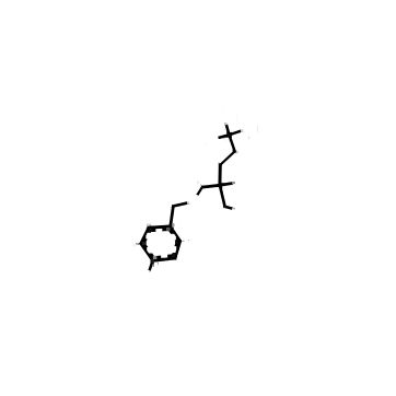 CCC(O)(CCC(C)(C)O)COCc1ccc(F)cc1